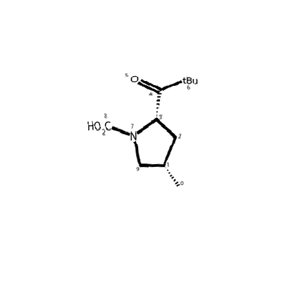 C[C@H]1C[C@@H](C(=O)C(C)(C)C)N(C(=O)O)C1